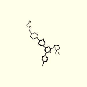 CCOOCC1CCN(c2ccc(-c3cc(-c4ccc(F)cc4)nc(N4CCCC4C)n3)cn2)CC1